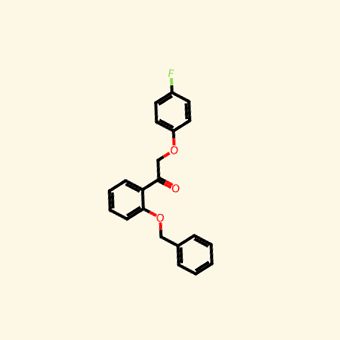 O=C(COc1ccc(F)cc1)c1ccccc1OCc1ccccc1